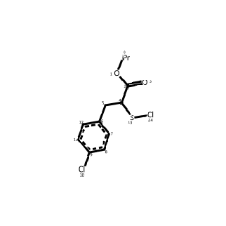 CC(C)OC(=O)C(Cc1ccc(Cl)cc1)SCl